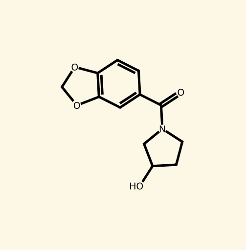 O=C(c1ccc2c(c1)OCO2)N1CCC(O)C1